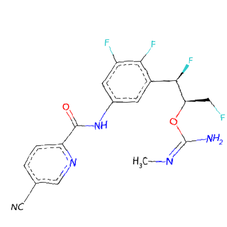 C/N=C(/N)O[C@H](CF)[C@H](F)c1cc(NC(=O)c2ccc(C#N)cn2)cc(F)c1F